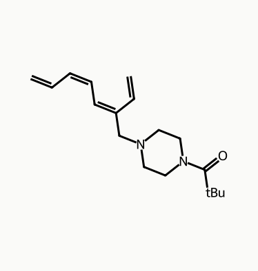 C=C/C=C\C=C(/C=C)CN1CCN(C(=O)C(C)(C)C)CC1